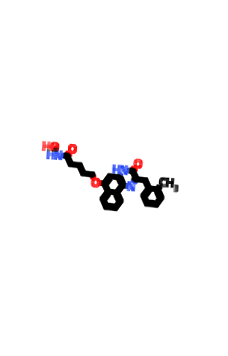 Cc1ccccc1Cc1nc2c(cc(OCCCCC(=O)NO)c3ccccc32)[nH]c1=O